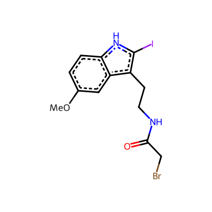 COc1ccc2[nH]c(I)c(CCNC(=O)CBr)c2c1